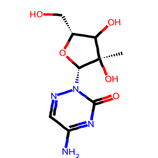 C[C@@]1(O)C(O)[C@@H](CO)O[C@H]1n1ncc(N)nc1=O